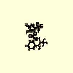 CC(CC(C)(C)C)c1ccccc1NC(=O)Oc1c(C(F)(F)F)nn(C)c1F